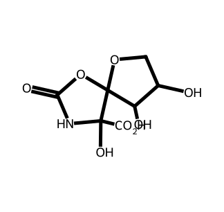 O=C1NC(O)(C(=O)O)C2(OCC(O)C2O)O1